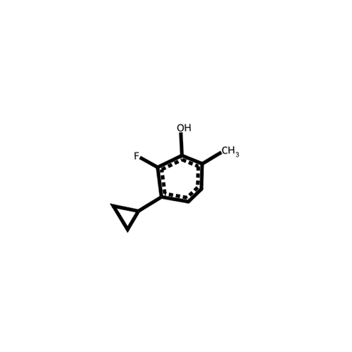 Cc1ccc(C2CC2)c(F)c1O